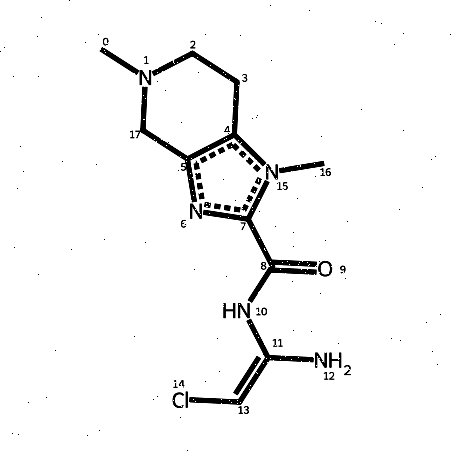 CN1CCc2c(nc(C(=O)N/C(N)=C\Cl)n2C)C1